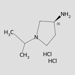 CC(C)N1CC[C@H](N)C1.Cl.Cl